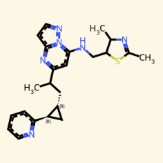 CC1=NC(C)C(CNc2cc(C(C)C[C@@H]3C[C@H]3c3ccccn3)nc3ccnn23)S1